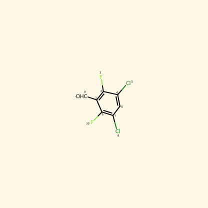 O=[C]c1c(F)c(Cl)cc(Cl)c1F